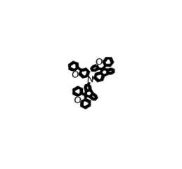 c1ccc2c(c1)Oc1ccccc1C21c2ccccc2-c2cc(N(c3ccc4c(c3)C3(c5ccccc5Oc5ccccc53)c3ccccc3-4)c3ccc4c(c3)oc3ccccc34)ccc21